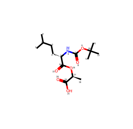 CC(C)CC[C@H](NC(=O)OC(C)(C)C)C(=O)O[C@@H](C)C(=O)O